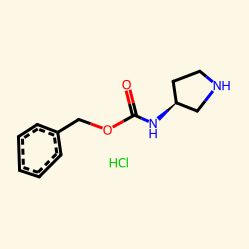 Cl.O=C(N[C@H]1CCNC1)OCc1ccccc1